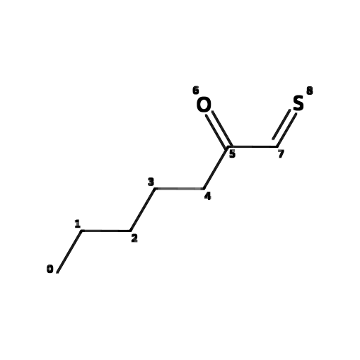 CCCCCC(=O)C=S